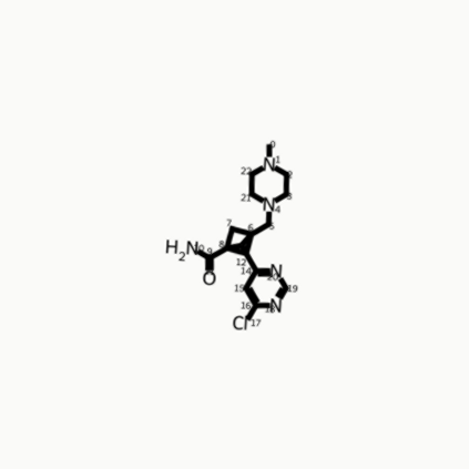 CN1CCN(CC23CC(C(N)=O)(C2)C3c2cc(Cl)ncn2)CC1